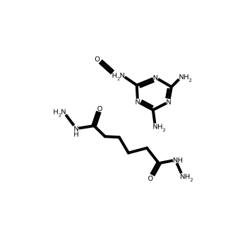 C=O.NNC(=O)CCCCC(=O)NN.Nc1nc(N)nc(N)n1